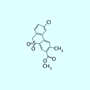 COC(=O)c1cc2c(cc1C)-c1cc(Cl)ccc1CS2(=O)=O